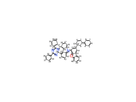 C1=CC(c2ccccc2)CC(c2cc(-n3c4ccccc4c4c(-c5nc(-c6ccccc6)nc(-c6ccccc6)n5)cccc43)c3oc4ccccc4c3c2)C1